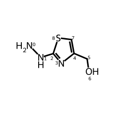 NNc1nc(CO)cs1